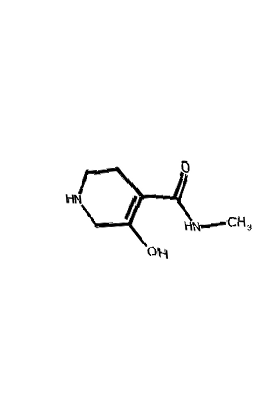 CNC(=O)C1=C(O)CNCC1